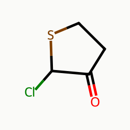 O=C1CCSC1Cl